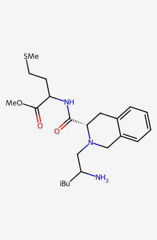 CCC(C)C(N)CN1Cc2ccccc2C[C@H]1C(=O)NC(CCSC)C(=O)OC